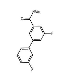 CNC(=O)c1cc(F)cc(-c2cccc(F)c2)c1